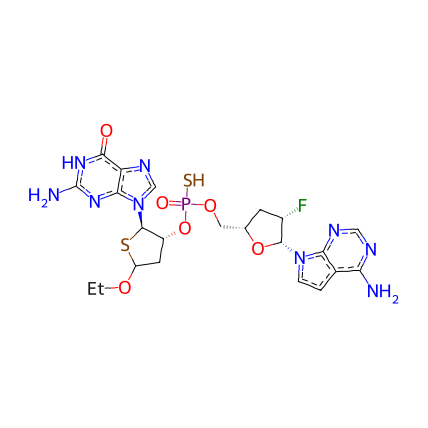 CCOC1C[C@@H](OP(=O)(S)OC[C@@H]2C[C@H](F)[C@H](n3ccc4c(N)ncnc43)O2)[C@H](n2cnc3c(=O)[nH]c(N)nc32)S1